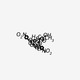 CC(O)[C@@H]1C[C@]2(C)C(S[C@H]3C[C@@H](C(=O)N4CCN(C)CC4)N(C(=O)OCc4ccc([N+](=O)[O-])cc4)C3)=C(C(=O)OCc3ccc([N+](=O)[O-])cc3)N2C1=O